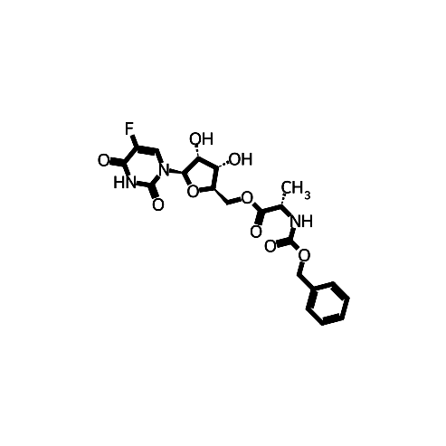 C[C@H](NC(=O)OCc1ccccc1)C(=O)OC[C@H]1O[C@@H](n2cc(F)c(=O)[nH]c2=O)[C@H](O)[C@@H]1O